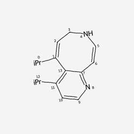 CC(C)/C1=C/CN/C=C\c2nccc(C(C)C)c21